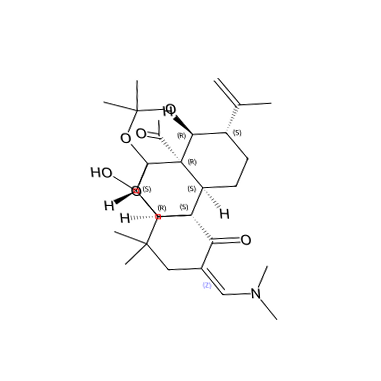 C=C(C)[C@@H]1CC[C@H]2[C@@]34COC5(OC(C)(C)O[C@H]1[C@@]25C(C)=O)[C@@H](O)[C@@H]3C(C)(C)C/C(=C/N(C)C)C4=O